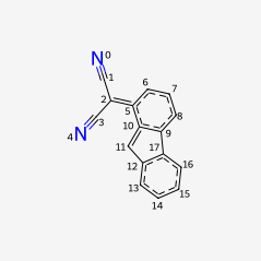 N#CC(C#N)=c1cccc2c1=Cc1ccccc1-2